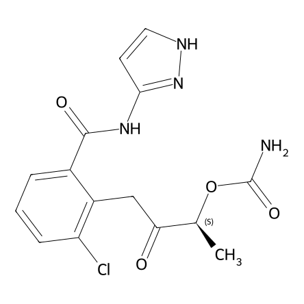 C[C@H](OC(N)=O)C(=O)Cc1c(Cl)cccc1C(=O)Nc1cc[nH]n1